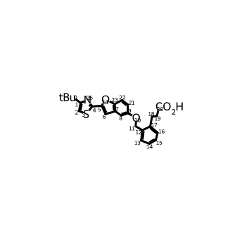 CC(C)(C)c1csc(-c2cc3cc(OCc4ccccc4CCC(=O)O)ccc3o2)n1